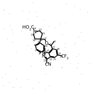 CC(OCC1(c2ccccc2)CCN(C(=O)O)CC1)c1cc(C(F)(F)F)cc2c(C#N)n[nH]c12